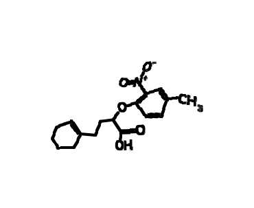 Cc1ccc(OC(CCC2=CCCCC2)C(=O)O)c([N+](=O)[O-])c1